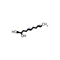 C#CC(O)CC/C=C/CC/C=C/C